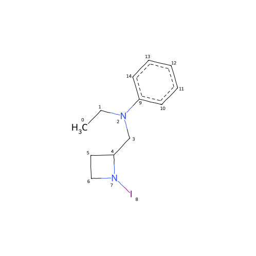 CCN(CC1CCN1I)c1ccccc1